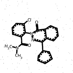 CN(C)C(=O)c1cccc(Cl)c1-n1nc(-c2ccccc2)c2ccccc2c1=O